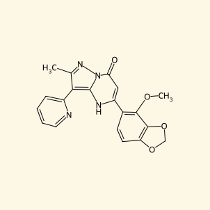 COc1c(-c2cc(=O)n3nc(C)c(-c4ccccn4)c3[nH]2)ccc2c1OCO2